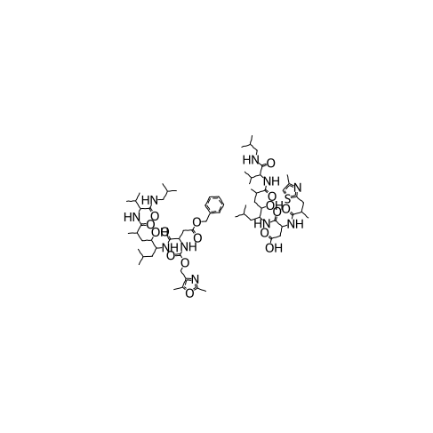 Cc1csc(CC(C)C(=O)NC(CC(=O)O)C(=O)NC(CC(C)C)C(O)CC(C)C(=O)NC(C(=O)NCC(C)C)C(C)C)n1.Cc1nc(COC(=O)NC(CC(=O)OCc2ccccc2)C(=O)NC(CC(C)C)C(O)CC(C)C(=O)NC(C(=O)NCC(C)C)C(C)C)c(C)o1